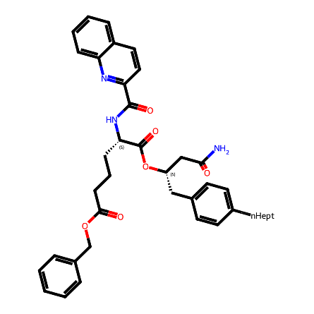 CCCCCCCc1ccc(C[C@@H](CC(N)=O)OC(=O)[C@H](CCCC(=O)OCc2ccccc2)NC(=O)c2ccc3ccccc3n2)cc1